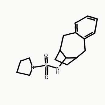 O=S(=O)(NC1C2CCC1Cc1ccccc1C2)N1CCCC1